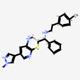 Cn1cc(-c2cnc3c(c2)NC[C@H]([C@H](NCCc2ccc(C#N)cc2)c2ccccc2)S3)cn1